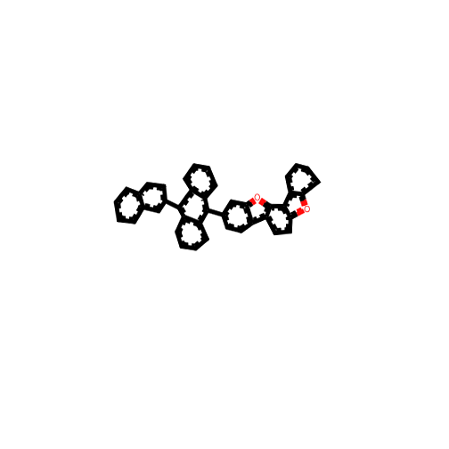 c1ccc2cc(-c3c4ccccc4c(-c4ccc5c(c4)oc4c5ccc5oc6ccccc6c54)c4ccccc34)ccc2c1